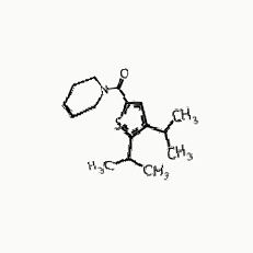 CC(C)c1cc(C(=O)N2CCCCC2)sc1C(C)C